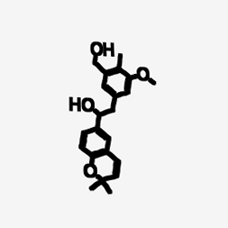 COc1cc(CC(O)c2ccc3c(c2)C=CC(C)(C)O3)cc(CO)c1C